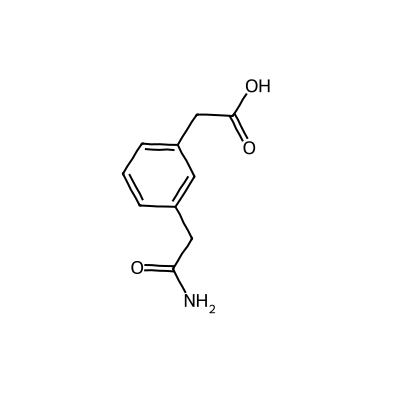 NC(=O)Cc1cccc(CC(=O)O)c1